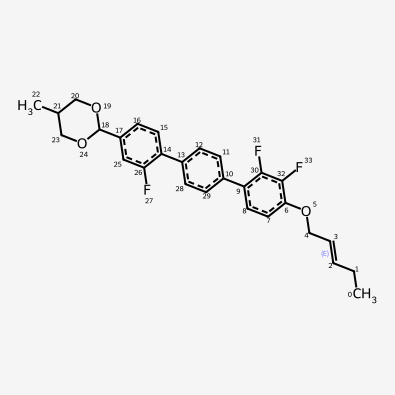 CC/C=C/COc1ccc(-c2ccc(-c3ccc(C4OCC(C)CO4)cc3F)cc2)c(F)c1F